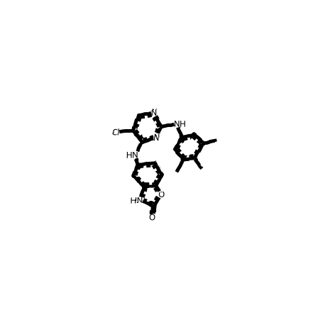 Cc1cc(Nc2ncc(Cl)c(Nc3ccc4oc(=O)[nH]c4c3)n2)cc(C)c1C